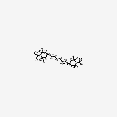 CC(=O)N1C(C)(C)CC(NCCCCCCNC2CC(C)(C)N(C(C)=O)C(C)(C)C2)CC1(C)C